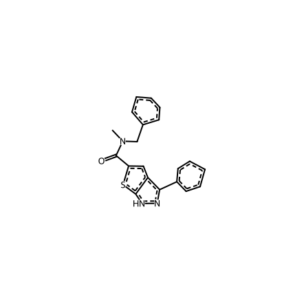 CN(Cc1ccccc1)C(=O)c1cc2c(-c3ccccc3)n[nH]c2s1